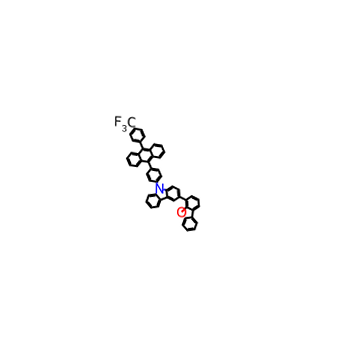 FC(F)(F)c1ccc(-c2c3ccccc3c(-c3ccc(-n4c5ccccc5c5cc(-c6cccc7c6oc6ccccc67)ccc54)cc3)c3ccccc23)cc1